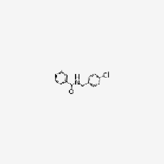 O=C(NCc1ccc(Cl)cc1)c1c[c]ccc1